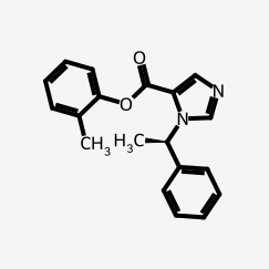 Cc1ccccc1OC(=O)c1cncn1[C@H](C)c1ccccc1